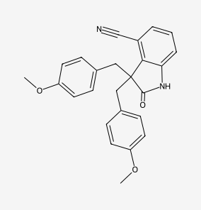 COc1ccc(CC2(Cc3ccc(OC)cc3)C(=O)Nc3cccc(C#N)c32)cc1